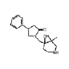 CC1(C)CNCCC1(O)CN1CC(c2ccccc2)CC1=O